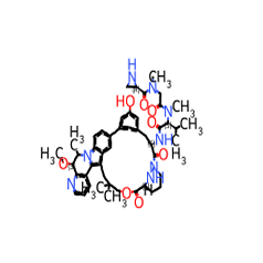 CO[C@@H]1c2ncccc2-c2c3c4cc(ccc4n2C1C)-c1cc(O)cc(c1)C[C@H](NC(=O)[C@H](C(C)C)N(C)C(=O)CN(C)C(=O)[C@H]1CN1)C(=O)N1CCC[C@H](N1)C(=O)OCC(C)(C)C3